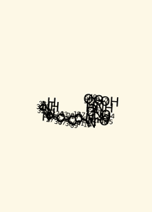 O=C(O)N[C@H](C(=O)N1CC2(C[C@H]1c1ncc(-c3ccc4cc(-c5ccc(-c6cnc([C@@H]7CCCN7)[nH]6)cc5)ccc4c3)[nH]1)OCCO2)C1CCOCC1